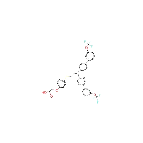 O=C(O)COc1ccc(SCC=C(c2ccc(-c3cccc(OC(F)(F)F)c3)cc2)c2ccc(-c3cccc(OC(F)(F)F)c3)cc2)cc1